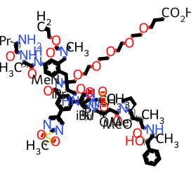 C=CCOC(=O)N(C)Cc1cc(NC(=O)[C@H](C)NC(=O)[C@@H](N)C(C)C)ccc1CC(COCCOCCOCCOCCOCCCC(=O)O)(C(C(=O)NC(C(=O)N(C)C([C@@H](C)CC)[C@@H](CC(=O)N1CCC[C@H]1[C@H](OC)[C@@H](C)C(=O)N[C@H](C)[C@@H](O)c1ccccc1)OC)C(C)C)C(C)C)N(NC)C(=O)c1cc(-c2cnc(S(C)(=O)=O)nc2)cc(-c2cnc(S(C)(=O)=O)nc2)c1